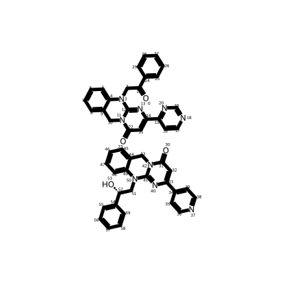 O=C(CN1c2ccccc2Cn2c1nc(-c1ccncn1)cc2=O)c1ccccc1.O=c1cc(-c2ccncc2)nc2n1Cc1ccccc1N2C[C@@H](O)c1ccccc1